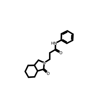 O=C(CCN1CC2CCCCC2C1=O)Nc1ccccc1